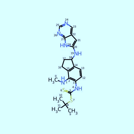 CNc1c(NC(=S)SC(C)(C)C)ccc2c1CCC2Nc1cc2cncnc2[nH]1